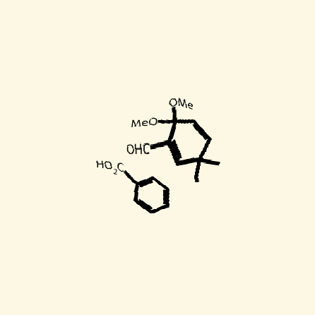 COC1(OC)C=CC(C)(C)C=C1C=O.O=C(O)c1ccccc1